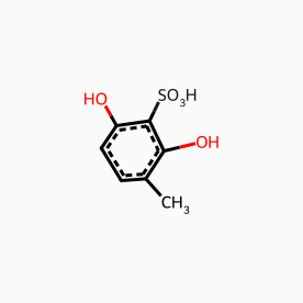 Cc1ccc(O)c(S(=O)(=O)O)c1O